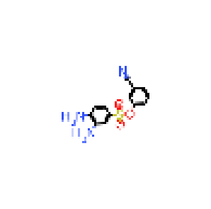 N#Cc1cccc(OS(=O)(=O)c2ccc(N)c(N)c2)c1